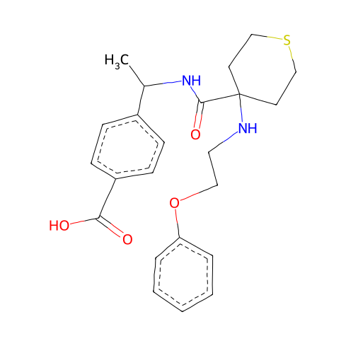 CC(NC(=O)C1(NCCOc2ccccc2)CCSCC1)c1ccc(C(=O)O)cc1